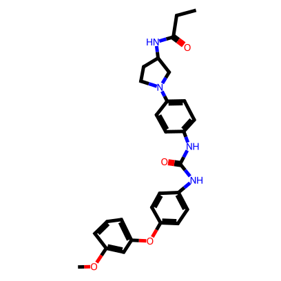 CCC(=O)NC1CCN(c2ccc(NC(=O)Nc3ccc(Oc4cccc(OC)c4)cc3)cc2)C1